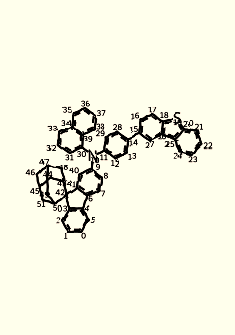 c1ccc2c(c1)-c1ccc(N(c3ccc(-c4ccc5sc6ccccc6c5c4)cc3)c3cccc4ccccc34)cc1C21C2CC3CC(C2)CC1C3